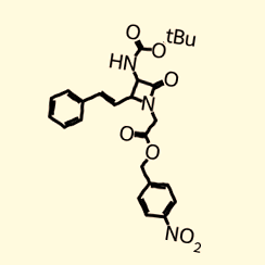 CC(C)(C)OC(=O)NC1C(=O)N(CC(=O)OCc2ccc([N+](=O)[O-])cc2)C1C=Cc1ccccc1